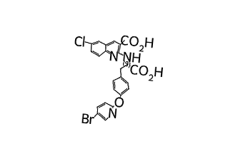 O=C(O)c1cc2cc(Cl)ccc2nc1N[C@@H](Cc1ccc(Oc2ccc(Br)cn2)cc1)C(=O)O